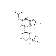 Cc1cc2nc(OC(C)C)nc(-c3cccc(C(F)(F)F)c3)c2s1